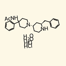 CC(=O)NC1(c2ccccc2)CCN([C@H]2CCN[C@H](Cc3ccccc3)C2)CC1.Cl.Cl.O.O